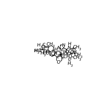 CN[C@@](C)(CO[C@H]1[C@H](n2ncnc2C(=O)NC(C)C)C[C@@]23COC[C@]1(C)[C@@H]2CC[C@H]1C3=CC[C@]2(C)[C@H](OC(=O)O)[C@@](C)([C@H](C)C(C)C)CC[C@]12C)C(C)C